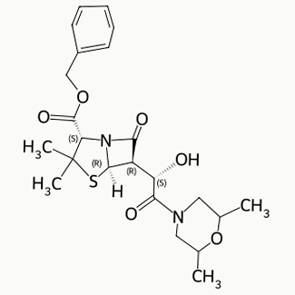 CC1CN(C(=O)[C@@H](O)[C@@H]2C(=O)N3[C@@H]2SC(C)(C)[C@@H]3C(=O)OCc2ccccc2)CC(C)O1